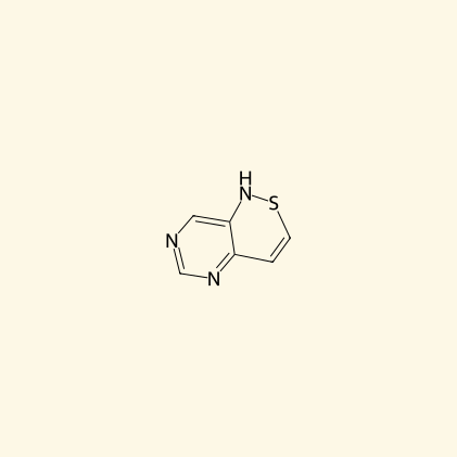 C1=Cc2ncncc2NS1